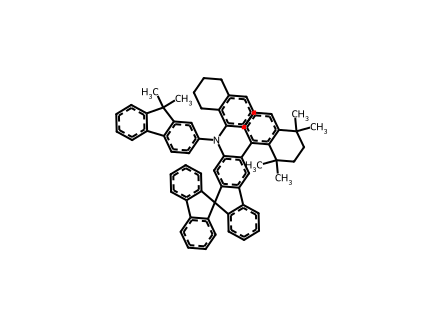 CC1(C)CCC(C)(C)c2c(-c3cc4c(cc3N(c3ccc5c(c3)C(C)(C)c3ccccc3-5)c3cccc5c3CCCC5)C3(c5ccccc5-c5ccccc53)c3ccccc3-4)cccc21